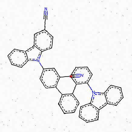 N#Cc1ccc2c(c1)c1ccccc1n2-c1ccc(-c2ccccc2-c2ccccc2-n2c3ccccc3c3ccccc32)c(C#N)c1